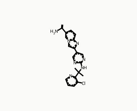 C=C(N)c1ccc2nc(-c3cnc(NC(C)(C)c4ncccc4Cl)nc3)cn2c1